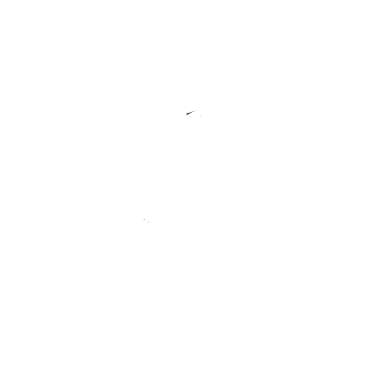 O=C(NCCc1ccccc1)c1ccc(O[C@@H]2OC(CO)C(O)C(O)C2O)cc1